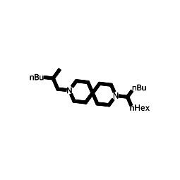 CCCCCCC(CCCC)N1CCC2(CCN(CC(C)CCCC)CC2)CC1